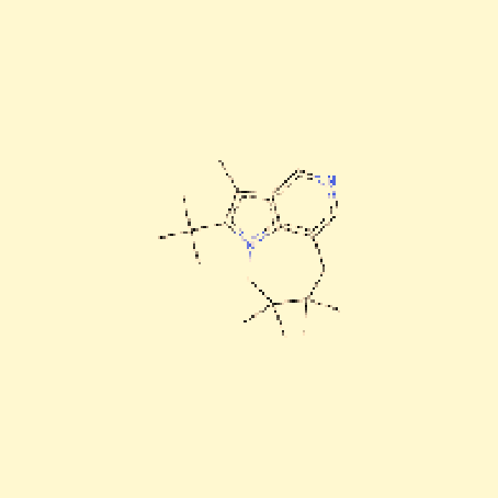 Cc1c(C(C)(C)C)n2c3c(cncc13)CC(C)(C)C(C)(C)C2